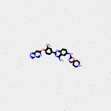 Cc1cc(-c2nc(N)c3cc(NC4=NCC5(CCNCC5)O4)ccc3n2)ccc1Oc1cc2nncn2cn1